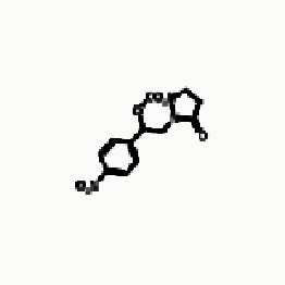 O=C(O)OC(CN1CCCC1=O)c1ccc([N+](=O)[O-])cc1